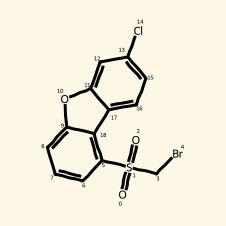 O=S(=O)(CBr)c1cccc2oc3cc(Cl)ccc3c12